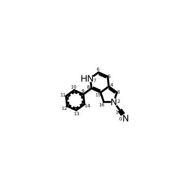 N#CN1C=C2C=CNC(c3ccccc3)=C2C1